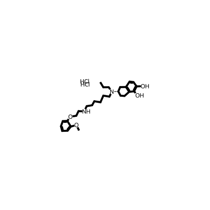 CCCN(CCCCCCNCCOc1ccccc1OC)[C@H]1CCc2c(ccc(O)c2O)C1.Cl.Cl